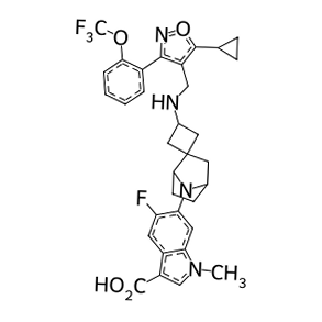 Cn1cc(C(=O)O)c2cc(F)c(N3C4CCC3C3(CC(NCc5c(-c6ccccc6OC(F)(F)F)noc5C5CC5)C3)C4)cc21